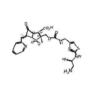 C[C@]1(COC(=O)NCc2csc(NC(=N)CN)n2)[C@H](C(=O)O)N2C(=O)/C(=C/c3ccccn3)C2S1(=O)=O